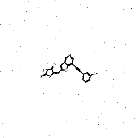 CC(=O)c1cccc(C#Cc2cncc3cc(/C=C4/SC(=S)NC4=O)oc23)c1